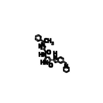 C[C@H](c1ccccc1)n1cc(C(=O)Nc2c[nH]c(=O)c(-c3cc4cc(CN5CCCCC5)ccc4[nH]3)c2)cn1